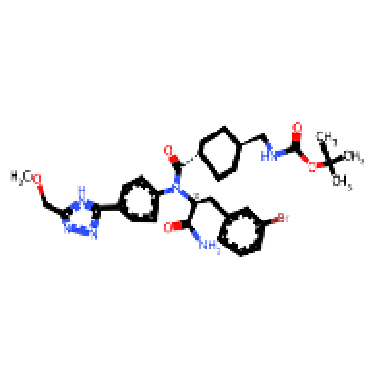 COCc1nnc(-c2ccc(N(C(=O)[C@H]3CC[C@H](CNC(=O)OC(C)(C)C)CC3)[C@@H](Cc3cccc(Br)c3)C(N)=O)cc2)[nH]1